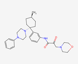 C[C@H]1CC[C@](c2cccc(NC(=O)C(=O)CN3CCOCC3)c2)(N2CCN(c3ccccc3)CC2)CC1